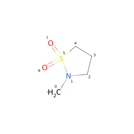 [CH2]N1CCCS1(=O)=O